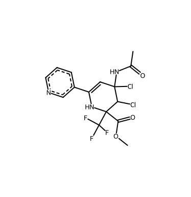 COC(=O)C1(C(F)(F)F)NC(c2cccnc2)=CC(Cl)(NC(C)=O)C1Cl